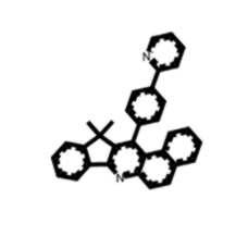 CC1(C)c2ccccc2-c2nc3ccc4ccccc4c3c(-c3ccc(-c4ccccn4)cc3)c21